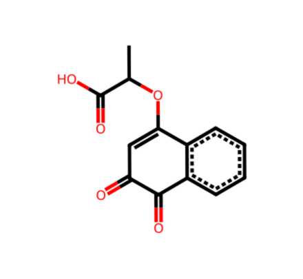 CC(OC1=CC(=O)C(=O)c2ccccc21)C(=O)O